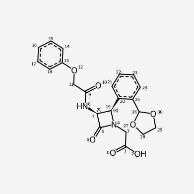 O=C(O)CN1C(=O)[C@@H](NC(=O)COc2ccccc2)[C@H]1c1ccccc1C1OCCO1